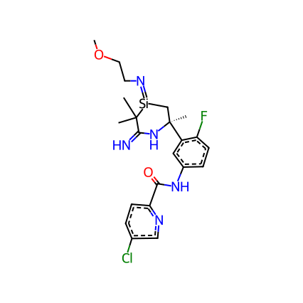 COCC/N=[Si]1/C[C@@](C)(c2cc(NC(=O)c3ccc(Cl)cn3)ccc2F)NC(=N)C1(C)C